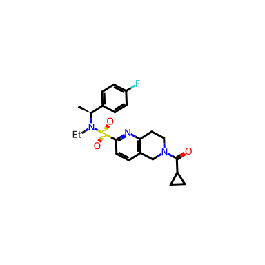 CCN([C@@H](C)c1ccc(F)cc1)S(=O)(=O)c1ccc2c(n1)CCN(C(=O)C1CC1)C2